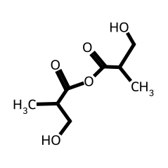 CC(CO)C(=O)OC(=O)C(C)CO